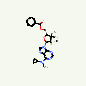 CC(=O)O[C@]1(C)[C@@H](COC(=O)c2ccccc2)O[C@H](n2cnc3c(N(C)C4CC4)ncnc32)[C@]1(C)F